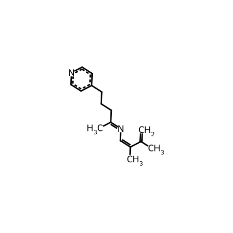 C=C(C)/C(C)=C\N=C(/C)CCCc1ccncc1